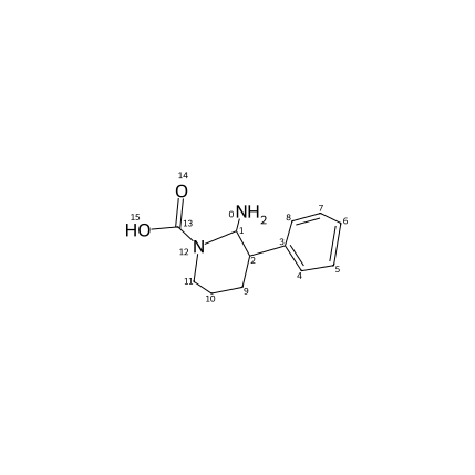 NC1C(c2ccccc2)CCCN1C(=O)O